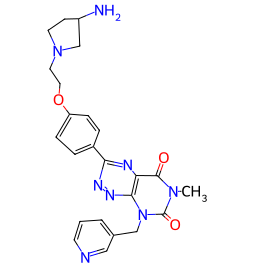 Cn1c(=O)c2nc(-c3ccc(OCCN4CCC(N)C4)cc3)nnc2n(Cc2cccnc2)c1=O